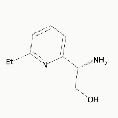 CCc1cccc([C@H](N)CO)n1